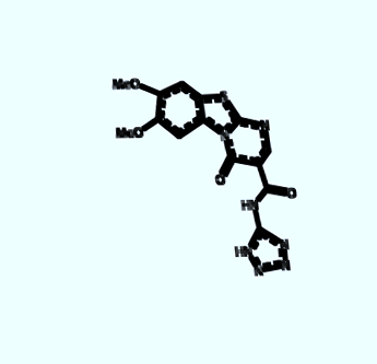 COc1cc2sc3ncc(C(=O)Nc4nnn[nH]4)c(=O)n3c2cc1OC